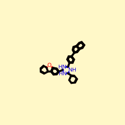 C1=CCCC(C2NC(c3ccc(-c4ccc5ccccc5c4)cc3)NC(c3ccc4c(c3)OC3C=CC=CC43)N2)=C1